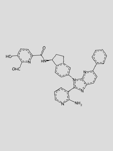 Nc1ncccc1-c1nc2ccc(-c3ccccc3)nc2n1-c1ccc2c(c1)CC[C@@H]2NC(=O)c1ccc(O)c(C=O)n1